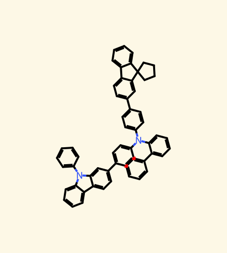 c1ccc(-c2ccccc2N(c2ccc(-c3ccc4c(c3)C3(CCCC3)c3ccccc3-4)cc2)c2ccc(-c3ccc4c5ccccc5n(-c5ccccc5)c4c3)cc2)cc1